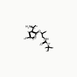 CC(CNC(=O)OC(C)(C)C)Oc1ncc(F)cc1C(C)N